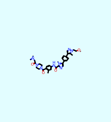 COCCn1ncc(-c2ccc(-c3cnc(C(=O)Nc4ccc(C(=O)N5CCN(C(=O)CN(C)C)CC5)c(C)c4)n3C)cc2)c1C